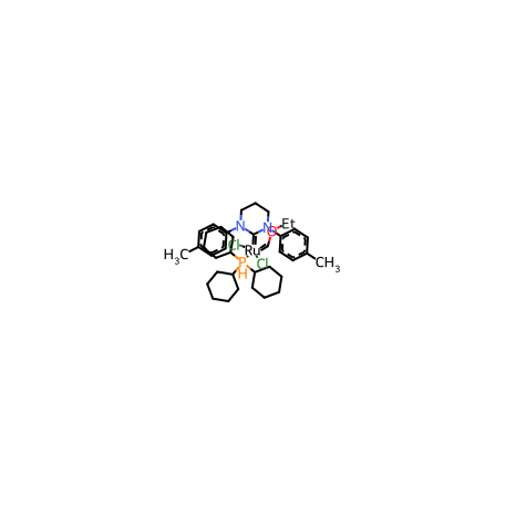 CCO[CH]=[Ru]([Cl])([Cl])(=[C]1N(c2ccc(C)cc2)CCCN1c1ccc(C)cc1)[PH](C1CCCCC1)(C1CCCCC1)C1CCCCC1